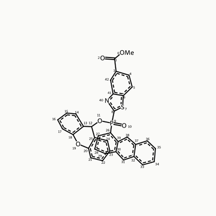 COC(=O)c1ccc2sc(P(=O)(OC3c4ccccc4Oc4ccccc43)c3cccc4cc5ccccc5cc34)nc2c1